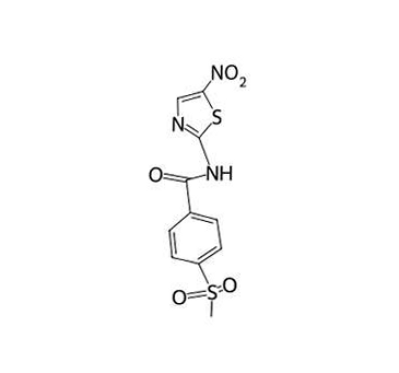 CS(=O)(=O)c1ccc(C(=O)Nc2ncc([N+](=O)[O-])s2)cc1